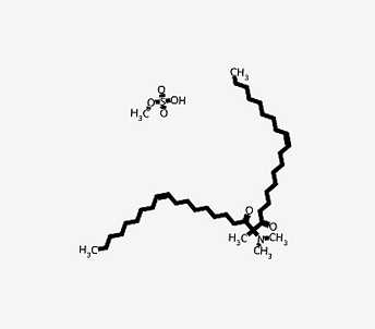 CCCCCCCC/C=C\CCCCCCCC(=O)C(C)(C(=O)CCCCCCC/C=C\CCCCCCCC)N(C)C.COS(=O)(=O)O